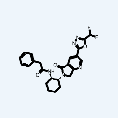 O=C(Cc1ccccc1)N[C@@H]1CCCC[C@H]1N1Cc2ncc(-c3nnc(C(F)F)o3)cc2C1=O